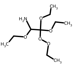 CCOOC(OCC)(OCC)C(N)OCC